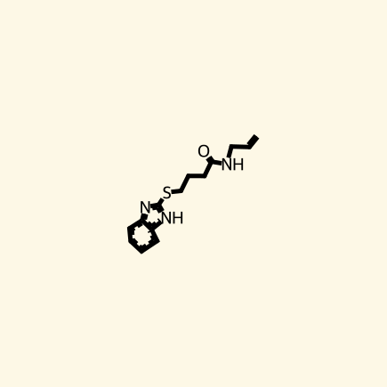 C=CCNC(=O)CCCSc1nc2ccccc2[nH]1